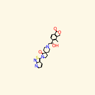 Cc1c([C@@H](O)CN2CCC3(CC2)CCN(c2snc4ncccc24)C3=O)ccc2c1COC2=O